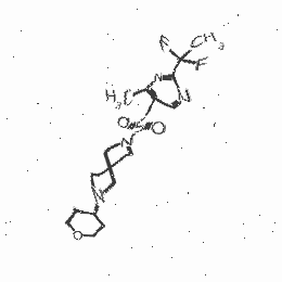 Cc1nc(C(C)(F)F)ncc1S(=O)(=O)N1CC2(CN(C3CCOCC3)C2)C1